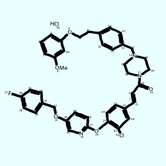 COc1cccc(OCCc2ccc(CN3CCN(C(=O)/C=C/c4ccc(Oc5ccc(OCc6ccc(F)cc6)cn5)c(Cl)c4)CC3)cc2)c1.Cl